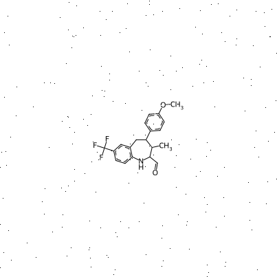 COc1ccc(C2Cc3cc(C(F)(F)F)ccc3NC(C=O)C2C)cc1